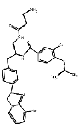 CC(C)Oc1ccc(C(=O)N[C@H](CNC(=O)CCN)Cc2ccc(C3CN4C=CC=C(Br)C4=N3)cc2)cc1Cl